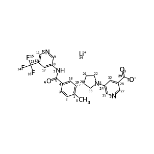 Cc1ccc(C(=O)Nc2cncc(C(F)(F)F)c2)cc1[C@@H]1CCN(c2cncc(C(=O)[O-])c2)C1.[Li+]